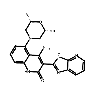 C[C@@H]1CN(c2cccc3[nH]c(=O)c(-c4nc5cccnc5[nH]4)c(N)c23)C[C@H](C)O1